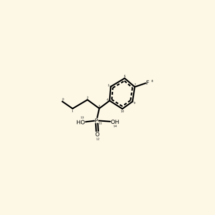 CCCC(c1ccc(F)cc1)P(=O)(O)O